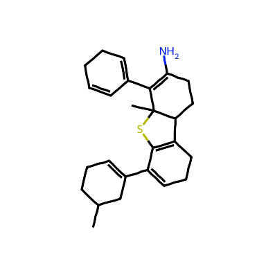 CC1CCC=C(C2=CCCC3=C2SC2(C)C(C4=CCCC=C4)=C(N)CCC32)C1